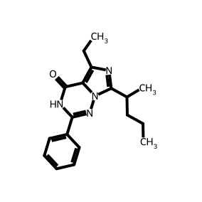 CCCC(C)c1nc(CC)c2c(=O)[nH]c(-c3ccccc3)nn12